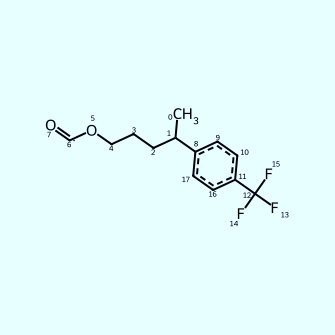 CC(CCCO[C]=O)c1ccc(C(F)(F)F)cc1